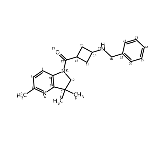 Cc1ccc2c(n1)C(C)(C)CN2C(=O)C1CC(NCc2ccccc2)C1